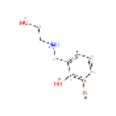 OCCNCc1cccc(Br)c1O